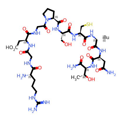 CC[C@H](C)[C@H](NC(=O)[C@H](CS)NC(=O)[C@H](CO)NC(=O)[C@@H]1CCCN1C(=O)CNC(=O)[C@H](CC(=O)O)NC(=O)CNC(=O)[C@@H](N)CCCNC(=N)N)C(=O)N[C@@H](CC(N)=O)C(=O)N[C@H](C(N)=O)[C@@H](C)O